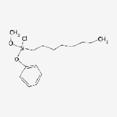 CCCCCCCC[Si](Cl)(OC)Oc1ccccc1